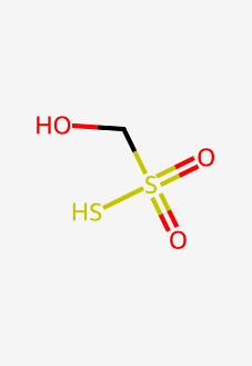 O=S(=O)(S)CO